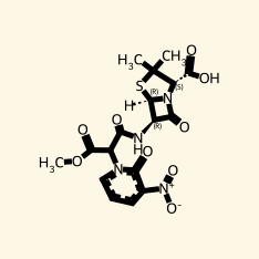 COC(=O)C(C(=O)N[C@@H]1C(=O)N2[C@@H]1SC(C)(C)[C@@H]2C(=O)O)n1cccc([N+](=O)[O-])c1=O